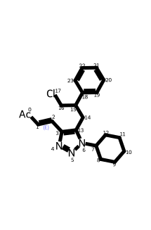 CC(=O)/C=C/c1nnn(C2CCCCC2)c1CC(CCl)c1ccccc1